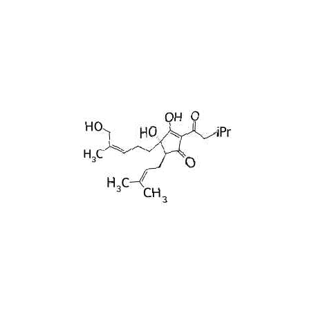 CC(C)=CC[C@@H]1C(=O)C(C(=O)CC(C)C)=C(O)[C@]1(O)CCC=C(C)CO